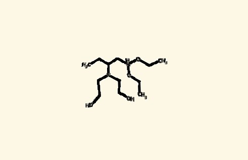 CCO[SiH](CC(CC)N(CCO)CCO)OCC